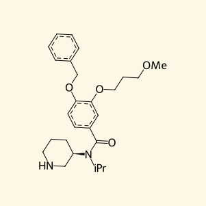 COCCCOc1cc(C(=O)N(C(C)C)[C@@H]2CCCNC2)ccc1OCc1ccccc1